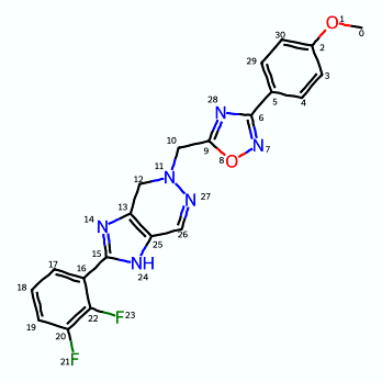 COc1ccc(-c2noc(CN3Cc4nc(-c5cccc(F)c5F)[nH]c4C=N3)n2)cc1